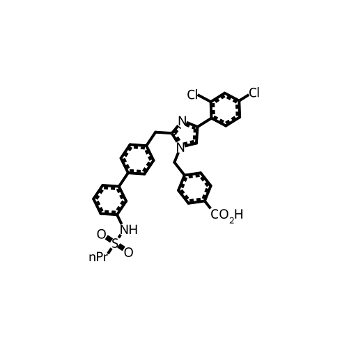 CCCS(=O)(=O)Nc1cccc(-c2ccc(Cc3nc(-c4ccc(Cl)cc4Cl)cn3Cc3ccc(C(=O)O)cc3)cc2)c1